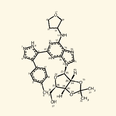 Cc1ccc(-c2nn[nH]c2-c2nc(NC3CCOC3)c3ncn([C@@H]4O[C@H](CO)[C@H]5OC(C)(C)O[C@H]54)c3n2)cc1